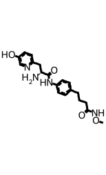 CONC(=O)CCCc1ccc(NC(=O)[C@H](N)Cc2ccc(O)cn2)cc1